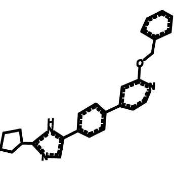 c1ccc(COc2cc(-c3ccc(-c4cnc(C5CCCC5)[nH]4)cc3)ccn2)cc1